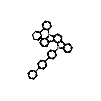 C1=CC(c2ccccc2-n2c3ccccc3c3c2ccc2c4ccccc4n(-c4ccc(-c5ccc(-c6ccccc6)cc5)cc4)c23)=CCC1